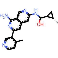 Cc1ccncc1-c1cc2cc(NC(O)C3C[C@@H]3C)ncc2c(N)n1